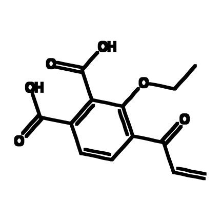 C=CC(=O)c1ccc(C(=O)O)c(C(=O)O)c1OCC